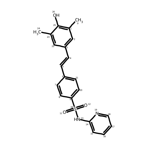 Cc1cc(/C=C/c2ccc(S(=O)(=O)Nc3ccccn3)cc2)cc(C)c1O